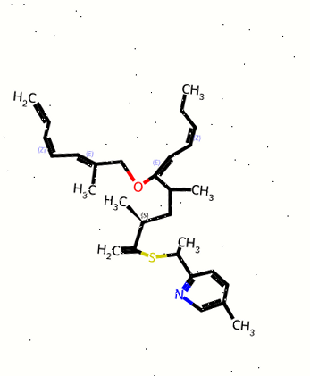 C=C/C=C\C=C(/C)CO/C(=C/C=C\CC)C(C)C[C@H](C)C(=C)SC(C)c1ccc(C)cn1